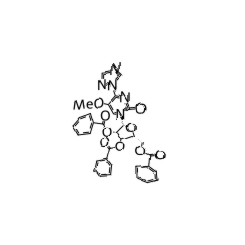 COc1cn([C@@H]2O[C@H](COC(=O)c3ccccc3)C(OC(=O)c3ccccc3)[C@@H]2OC(=O)c2ccccc2)c(=O)nc1-n1cncn1